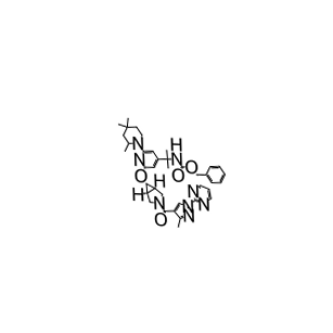 Cc1nn(-c2ncccn2)cc1C(=O)N1C[C@@H]2C(Oc3cc(C(C)(C)NC(=O)OCc4ccccc4)cc(N4CCC(C)(C)CC4C)n3)[C@@H]2C1